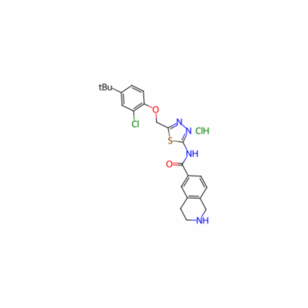 CC(C)(C)c1ccc(OCc2nnc(NC(=O)c3ccc4c(c3)CCNC4)s2)c(Cl)c1.Cl